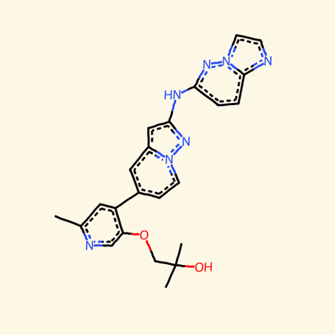 Cc1cc(-c2ccn3nc(Nc4ccc5nccn5n4)cc3c2)c(OCC(C)(C)O)cn1